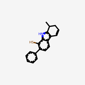 CC1CC=Cc2c1[nH]c1c(S)c(-c3ccccc3)ccc21